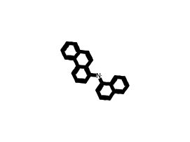 c1ccc2c([N]c3cccc4c3ccc3ccccc34)cccc2c1